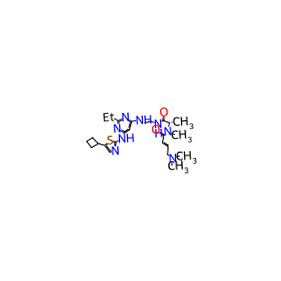 CCc1nc(NCCNC(=O)[C@H](C)N(C)C(=O)/C=C/CN(C)C)cc(Nc2ncc(C3CCC3)s2)n1